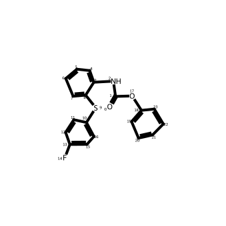 O=C(Nc1ccccc1Sc1ccc(F)cc1)Oc1ccccc1